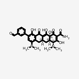 CN(C)c1cc(-c2cccc(C=O)c2)c(O)c2c1C[C@@H]1C[C@@H]3[C@H](N(C)C)C(O)=C(C(N)=O)C(=O)[C@]3(O)C(O)=C1C2=O